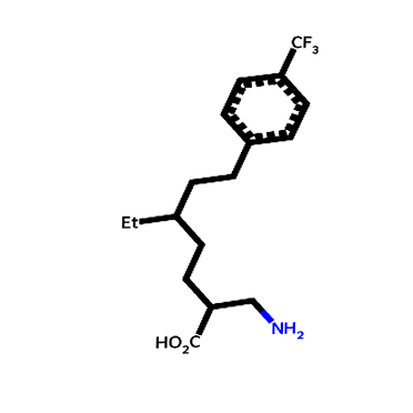 CCC(CCc1ccc(C(F)(F)F)cc1)CCC(CN)C(=O)O